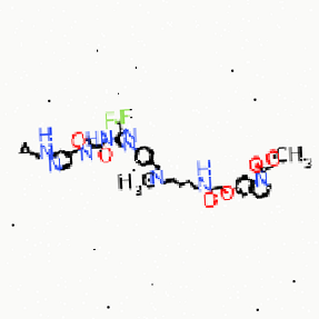 COCC(=O)N1CCCc2cc(OCC(=O)NCCCCCN(C)CC3CCC(n4cc(NC(=O)c5coc(-c6ccnc(NCC7CC7)c6)n5)c(C(F)F)n4)CC3)ccc21